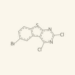 Clc1nc(Cl)c2c(n1)sc1ccc(Br)cc12